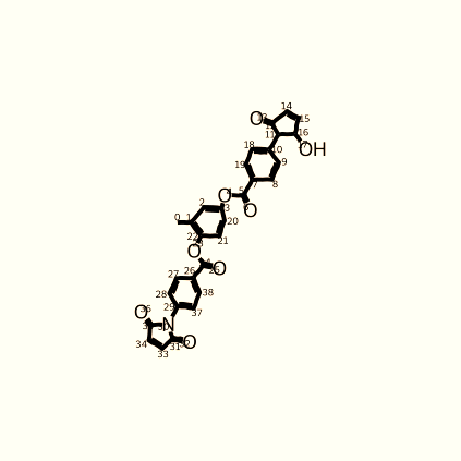 Cc1cc(OC(=O)c2ccc(C3C(=O)C=CC3O)cc2)ccc1OC(=O)c1ccc(N2C(=O)C=CC2=O)cc1